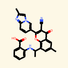 Cc1cc(C(C)Nc2ccccc2C(=O)O)c2oc(-c3ccc4nc(C)cn4c3)c(C#N)c(=O)c2c1